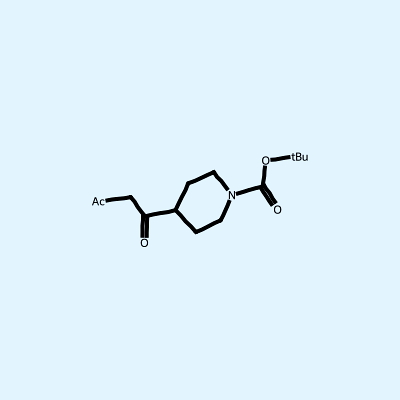 CC(=O)CC(=O)C1CCN(C(=O)OC(C)(C)C)CC1